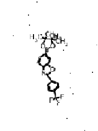 CC1(C)OB(c2ccc3nc(-c4ccc(C(F)(F)F)cc4)oc3c2)OC1(C)C